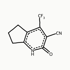 N#Cc1c(C(F)(F)F)c2c([nH]c1=O)CCC2